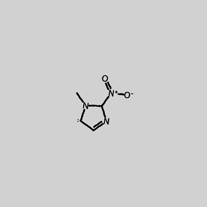 CN1[C]C=NC1[N+](=O)[O-]